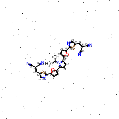 CC(C)n1c(-c2ccc(-c3ncc(C=C(C#N)C#N)s3)o2)ccc1-c1ccc(-c2ncc(C=C(C#N)C#N)s2)o1